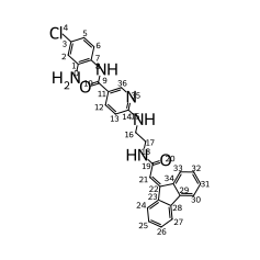 Nc1cc(Cl)ccc1NC(=O)c1ccc(NCCNC(=O)C=C2c3ccccc3-c3ccccc32)nc1